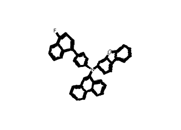 Fc1ccc(-c2ccc(N(c3ccc4c(c3)oc3ccccc34)c3cc4ccccc4c4ccccc34)cc2)c2ccccc12